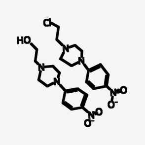 O=[N+]([O-])c1ccc(N2CCN(CCCl)CC2)cc1.O=[N+]([O-])c1ccc(N2CCN(CCO)CC2)cc1